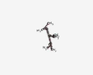 CCCCCC(CCCCC)CC(=O)OCCCCCCCCCC(CCCCCCCCCOC(=O)CC(CCCCC)CCCCC)OCCCN(C)CC